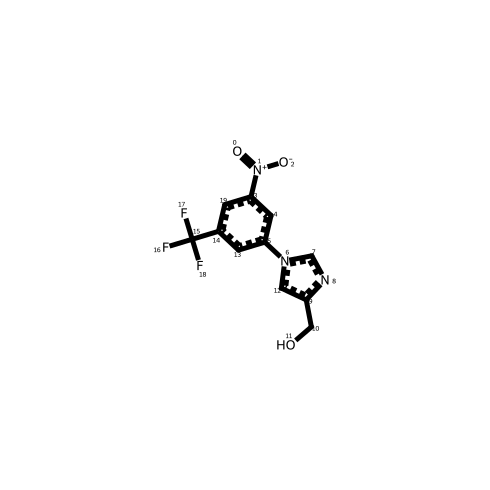 O=[N+]([O-])c1cc(-n2cnc(CO)c2)cc(C(F)(F)F)c1